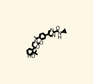 C[C@@H](c1ccc(-c2cnc(C(=O)NC3CC3)nc2)cc1)N1CC[C@](CC(C)(C)O)(c2ccccc2)OC1=O